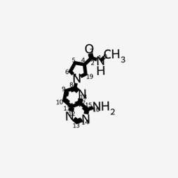 CNC(=O)C1CCN(c2ccc3ncnc(N)c3n2)C1